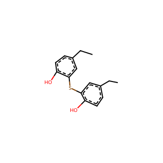 CCc1ccc(O)c(Sc2cc(CC)ccc2O)c1